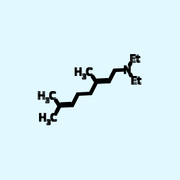 CCN(CC)C/C=C(\C)CCC=C(C)C